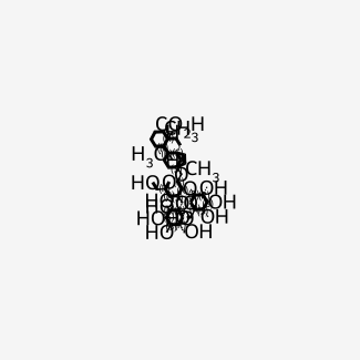 CC1=C[C@]23CC[C@H]4C(C)(C(=O)O)CCC[C@]4(C)[C@H]2CC[C@]1(O[C@@H]1O[C@H](CO)[C@@H](O)[C@H](O[C@@H]2O[C@H](CO)[C@@H](O)[C@H](O)[C@H]2O)[C@H]1O[C@H]1O[C@H](CO)[C@@H](O)[C@H](O)[C@H]1O)C3